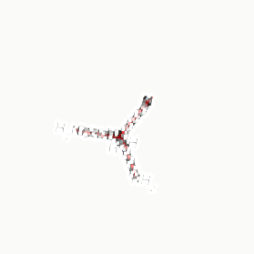 NCCOCCOCCOCCOCCOCCOCCOCCNC(=O)CC(CC(=O)NCCOCCOCCOCCOCCOCCOCCOCCN)NC(=O)CCOCCOCCOCCOCCOCCOCCOCc1cn(-c2ccccc2)nn1